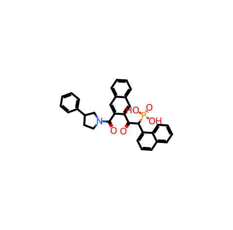 O=C(c1cc2ccccc2cc1C(=O)N1CCC(c2ccccc2)C1)C(c1cccc2ccccc12)P(=O)(O)O